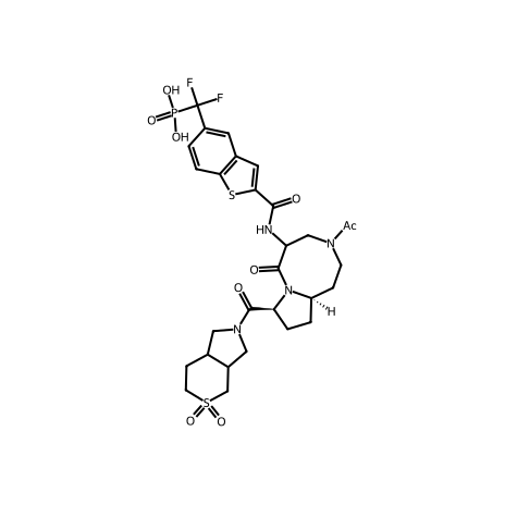 CC(=O)N1CC[C@H]2CC[C@@H](C(=O)N3CC4CCS(=O)(=O)CC4C3)N2C(=O)C(NC(=O)c2cc3cc(C(F)(F)P(=O)(O)O)ccc3s2)C1